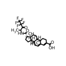 CC(NC(=O)[C@H]1CC[C@H]2[C@@H]3CC=C4C=C(C(=O)O)CC[C@]4(C)[C@H]3CC[C@]12C)C(=O)C(F)(F)C(F)(F)F